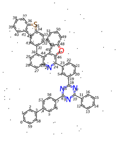 c1ccc(-c2ccc(-c3nc(-c4ccccc4)nc(-c4cccc(-c5nc6cccc(-c7ccc8sc9ccccc9c8c7)c6c6c5oc5ccccc56)c4)n3)cc2)cc1